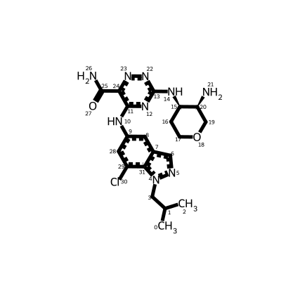 CC(C)Cn1ncc2cc(Nc3nc(N[C@@H]4CCOC[C@@H]4N)nnc3C(N)=O)cc(Cl)c21